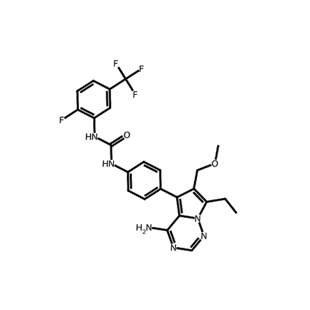 CCc1c(COC)c(-c2ccc(NC(=O)Nc3cc(C(F)(F)F)ccc3F)cc2)c2c(N)ncnn12